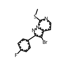 CSc1nccc2c(Br)c(-c3ccc(F)cc3)nn12